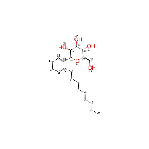 CCCCCCCCCc1ccccc1[C]1O[C@H](CO)[C@@H](O)[C@H](O)[C@@H]1O